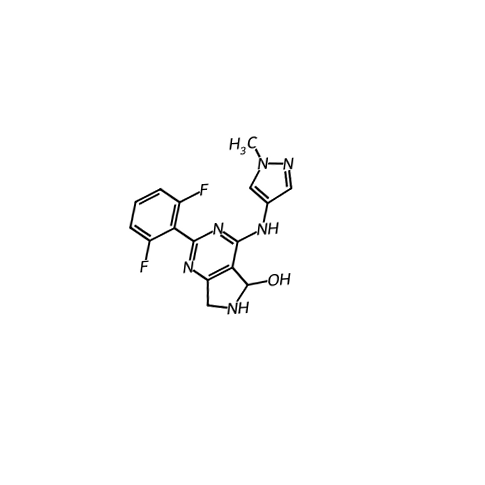 Cn1cc(Nc2nc(-c3c(F)cccc3F)nc3c2C(O)NC3)cn1